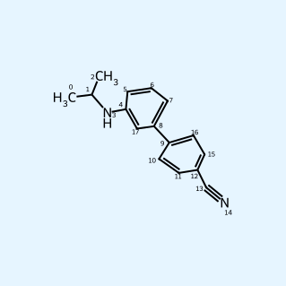 CC(C)Nc1cccc(-c2ccc(C#N)cc2)c1